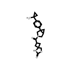 CC1(c2ccc(C34CC3CN(C(=O)C3CC5(COC(=O)N5)C3)C4)cc2)CC1